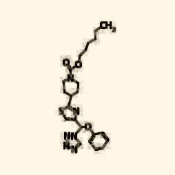 CCCCCCOC(=O)N1CCC(c2nc(C(Oc3ccccc3)n3cnnn3)cs2)CC1